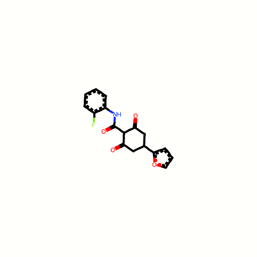 O=C1CC(c2ccco2)CC(=O)C1C(=O)Nc1ccccc1F